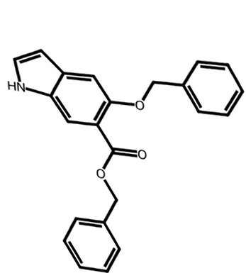 O=C(OCc1ccccc1)c1cc2[nH]ccc2cc1OCc1ccccc1